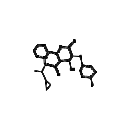 CC(C1CC1)n1c(=O)c2c(O)c(Sc3ccc(F)cc3)c(=O)oc2c2ccccc21